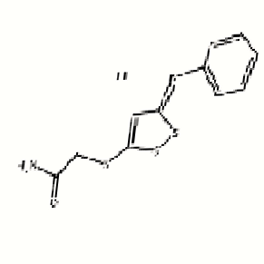 I.NC(=O)CSc1c/c(=N/c2ccccc2)ss1